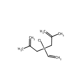 C=C[Si](Cl)(CC(=C)C)CC(=C)C